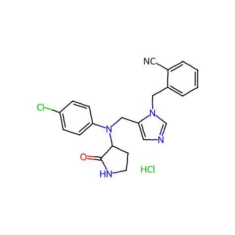 Cl.N#Cc1ccccc1Cn1cncc1CN(c1ccc(Cl)cc1)C1CCNC1=O